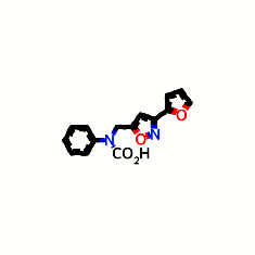 O=C(O)N(Cc1cc(-c2ccco2)no1)c1ccccc1